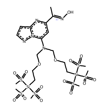 C/C(=N\O)c1cc(N(COCC[Si](S(C)(=O)=O)(S(C)(=O)=O)S(C)(=O)=O)COCC[Si](S(C)(=O)=O)(S(C)(=O)=O)S(C)(=O)=O)n2nccc2n1